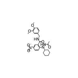 COc1ccc(CNC(=O)c2cc([N+](=O)[O-])ccc2N(NC(C)=O)C2CCCCC2)cc1OC